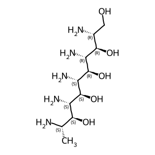 C[C@H](N)[C@H](O)[C@H](N)[C@H](O)[C@H](N)[C@H](O)[C@H](N)[C@H](O)[C@H](N)CO